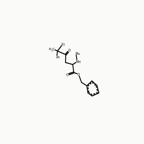 CCC(C)NC(CC(=O)C(C)(CC)C(C)C)C(=O)OCc1ccccc1